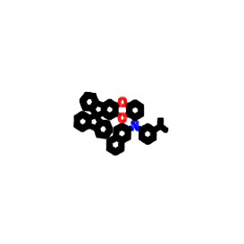 C=C(C)c1cccc(N(c2ccc3ccccc3c2)c2cccc3c2Oc2cc4c(cc2O3)-c2ccccc2C42c3ccccc3-c3ccccc32)c1